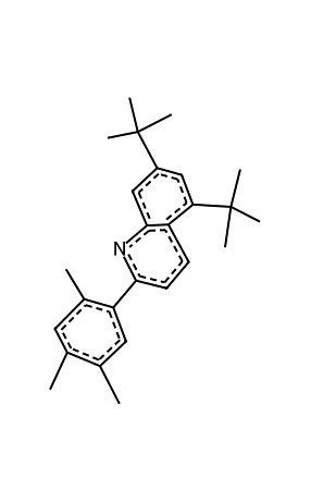 Cc1cc(C)c(-c2ccc3c(C(C)(C)C)cc(C(C)(C)C)cc3n2)cc1C